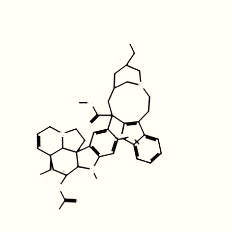 CC[C@]1(O)CC2CN(CCc3c([nH]c4ccccc34)C(C(=O)OC)(c3cc4c(cc3OC)N(C)C3C45CCN4CC=C[C@](CC)(C45)[C@@H](O)[C@]3(O)OC(C)=O)C2)C1